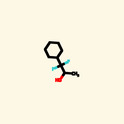 CC(O)C(F)(F)C1CCCCC1